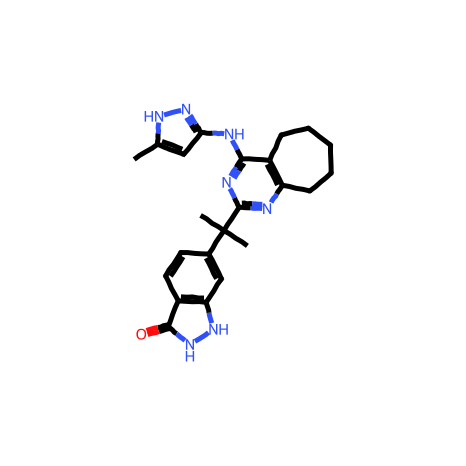 Cc1cc(Nc2nc(C(C)(C)c3ccc4c(=O)[nH][nH]c4c3)nc3c2CCCCC3)n[nH]1